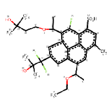 CC(OCC(F)(F)F)c1cc2c(C(F)(F)F)cc(S(=O)(=O)O)c3c(F)c(C(C)OCCC(O)(C(F)(F)F)C(F)(F)F)c4cc(C(F)(F)C(O)(C(F)(F)F)C(F)(F)F)cc1c4c23